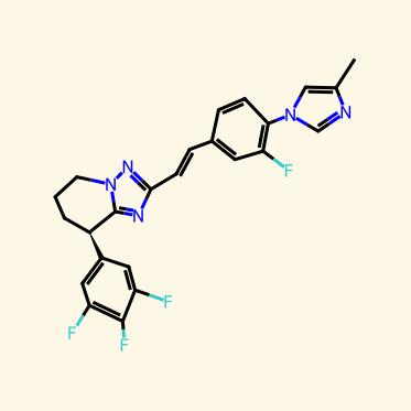 Cc1cn(-c2ccc(/C=C/c3nc4n(n3)CCC[C@@H]4c3cc(F)c(F)c(F)c3)cc2F)cn1